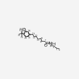 CCCCNC(=O)CCCCCCCc1ccc(C(C)(C)C)c(O)c1